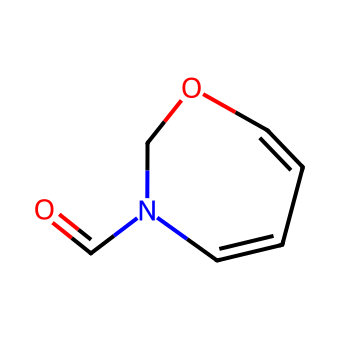 O=CN1C=CC=COC1